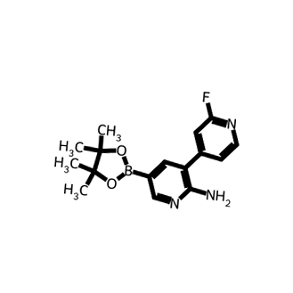 CC1(C)OB(c2cnc(N)c(-c3ccnc(F)c3)c2)OC1(C)C